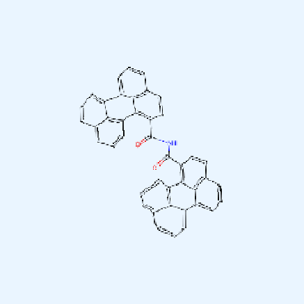 O=C(NC(=O)c1ccc2cccc3c4cccc5cccc(c1c23)c54)c1ccc2cccc3c4cccc5cccc(c1c23)c54